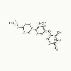 Cl.O=C(O)CN1CCC(c2ccc(OC3CCC(=O)NC3=O)cc2)CC1